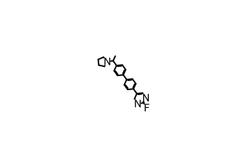 CC(c1ccc(-c2ccc(-c3cnc(F)nc3)cc2)cc1)N1CCCC1